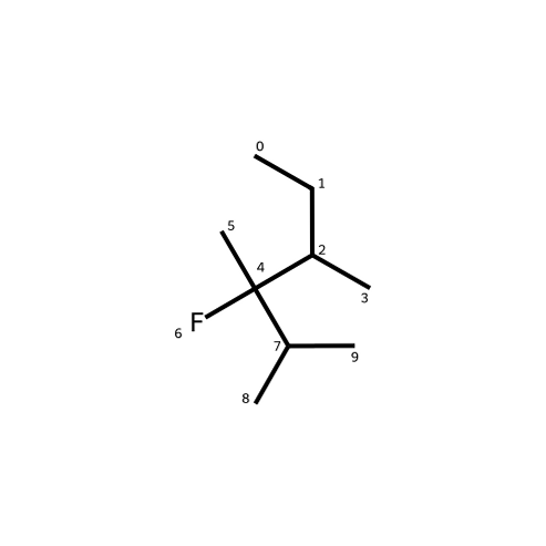 CCC(C)C(C)(F)C(C)C